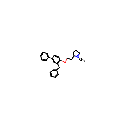 CN1CCCC1CCOc1ccc(-c2ccccc2)cc1Cc1ccccc1